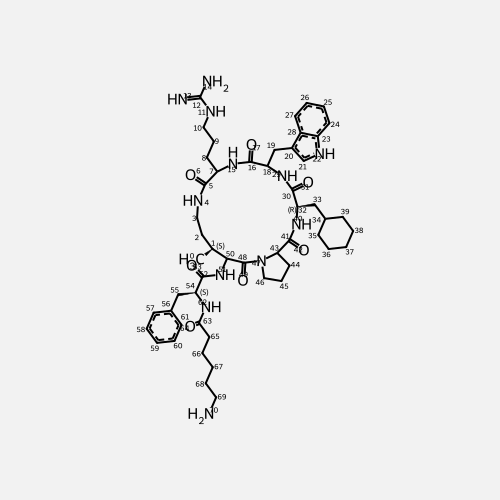 C[C@H]1CCNC(=O)C(CCCNC(=N)N)NC(=O)C(Cc2c[nH]c3ccccc23)NC(=O)[C@@H](CC2CCCCC2)NC(=O)C2CCCN2C(=O)C1NC(=O)[C@H](Cc1ccccc1)NC(=O)CCCCCN